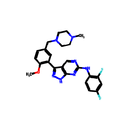 COc1ccc(CN2CCN(C)CC2)cc1-c1n[nH]c2nc(Nc3ccc(F)cc3F)ncc12